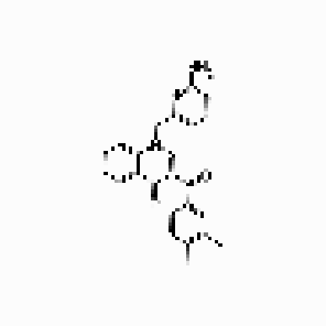 Cc1ccc(C(=O)c2cn(Cc3cccc(N)n3)c3ccccc3c2=O)cc1C